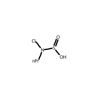 CCCN(Cl)S(=O)O